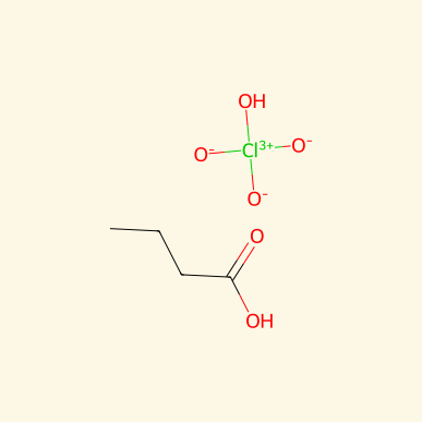 CCCC(=O)O.[O-][Cl+3]([O-])([O-])O